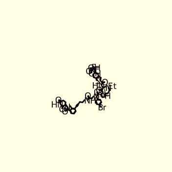 CCN1CC[C@H]2CC[C@@H](C(=O)N(CCC(=O)NCCCC#Cc3cccc4c3CN(C3CCC(=O)NC3=O)C4=O)c3ccc(Br)cc3)N2C(=O)[C@@H](NC(=O)c2cc3cc(C(F)(F)P(=O)(O)O)ccc3s2)C1